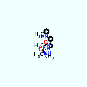 CN[C@@H](C)C(=O)N[C@@H](C)C(=O)N1CCC[C@H]1c1cccc(Nc2ccccc2C)c1